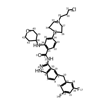 O=C(Nc1n[nH]c2ccc(Cc3cc(F)cc(F)c3)cc12)c1ccc(N2CCN(CCCCl)CC2)cc1NC1CCOCC1